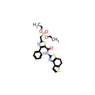 CCOP(=O)(Cc1nc(-c2ccccc2)c(C(=O)Nc2nc3c(s2)CCc2sccc2-3)s1)OCC